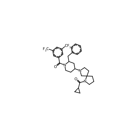 O=C(c1cc(C(F)(F)F)cc(C(F)(F)F)c1)N1CCC(N2CCC3(CCCN3C(=O)C3CC3)C2)CC1Cc1ccccc1